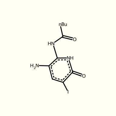 CCCCC(=O)Nc1[nH]c(=O)c(I)cc1N